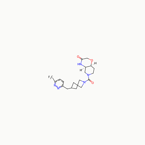 O=C1CO[C@H]2CCN(C(=O)N3CC4(CC(Cc5ccc(C(F)(F)F)nn5)C4)C3)C[C@H]2N1